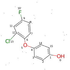 Oc1ccc(Oc2c[c]c(F)cc2Cl)cc1